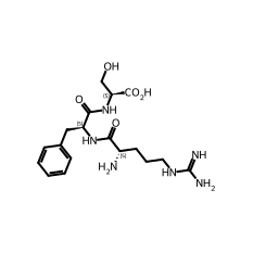 N=C(N)NCCC[C@H](N)C(=O)N[C@@H](Cc1ccccc1)C(=O)N[C@@H](CO)C(=O)O